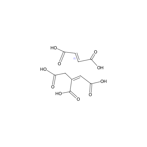 O=C(O)/C=C/C(=O)O.O=C(O)C=C(CC(=O)O)C(=O)O